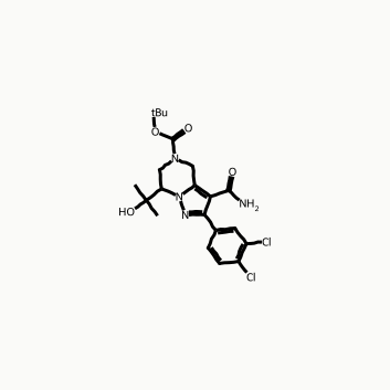 CC(C)(C)OC(=O)N1Cc2c(C(N)=O)c(-c3ccc(Cl)c(Cl)c3)nn2C(C(C)(C)O)C1